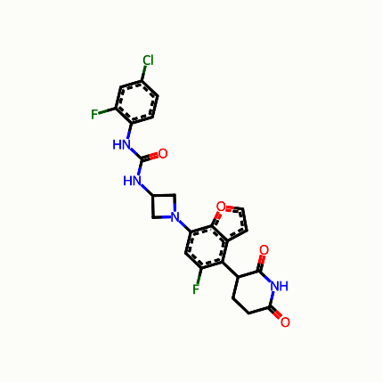 O=C1CCC(c2c(F)cc(N3CC(NC(=O)Nc4ccc(Cl)cc4F)C3)c3occc23)C(=O)N1